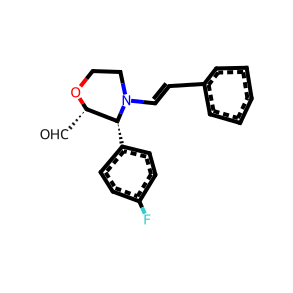 O=C[C@@H]1OCCN(C=Cc2ccccc2)[C@@H]1c1ccc(F)cc1